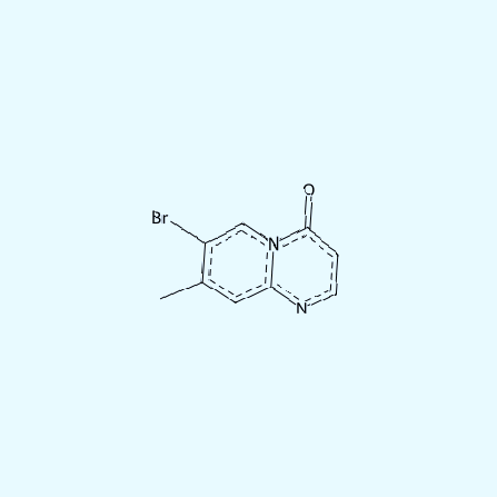 Cc1cc2nccc(=O)n2cc1Br